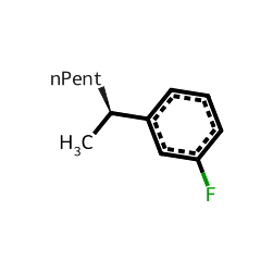 CCCCC[C@H](C)c1cccc(F)c1